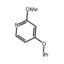 COc1cc(OC(C)C)ccn1